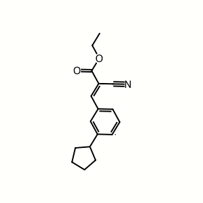 CCOC(=O)/C(C#N)=C/c1cc[c]c(C2CCCC2)c1